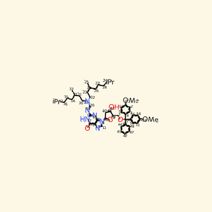 COc1ccc(C(OC[C@H]2O[C@@H](n3cnc4c(=O)[nH]c(N=CN(CCC(C)CCCC(C)C)CCC(C)CCCC(C)C)nc43)C[C@@H]2O)(c2ccccc2)c2ccc(OC)cc2)cc1